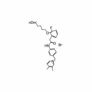 CCCCCCCCCCCCCCOc1c(F)cccc1CC(=O)Nc1ccc(C[n+]2ccc(C)c(C)c2)cc1.[Br-]